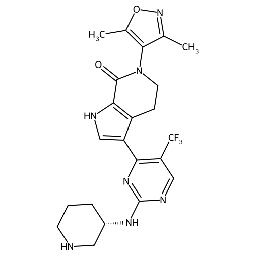 Cc1noc(C)c1N1CCc2c(-c3nc(N[C@H]4CCCNC4)ncc3C(F)(F)F)c[nH]c2C1=O